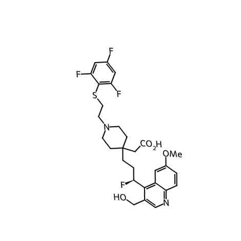 COc1ccc2ncc(CO)c([C@@H](F)CCC3(CC(=O)O)CCN(CCSc4c(F)cc(F)cc4F)CC3)c2c1